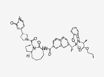 CCCOC(=O)[C@H](C)NP(=O)(Oc1ccccc1)C(F)c1ccc2ccc(C(=O)N[C@H]3CCCC[C@H]4CC[C@@H](C(=O)N5CCC(c6ccn(C)c(=O)c6)C5)N4C3=O)cc2c1